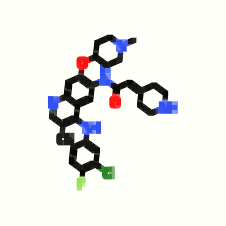 CN1CCC(Oc2cc3ncc(C#N)c(Nc4ccc(F)c(Cl)c4)c3cc2NC(=O)C=C2CCNCC2)CC1